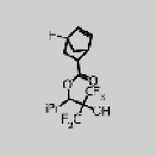 CC(C)C(OC(=O)C1C[C@@H]2C=CC1C2)C(O)(C(F)(F)F)C(F)(F)F